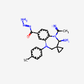 CC(=N)N1c2ccc(C(=O)N=NN)cc2N(c2ccc(C#N)cc2)CC2(CC2)C1N